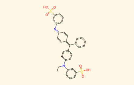 CCN(c1ccc(C(=C2C=CC(=Nc3cccc(S(=O)(=O)O)c3)C=C2)c2ccccc2)cc1)c1cccc(S(=O)(=O)O)c1